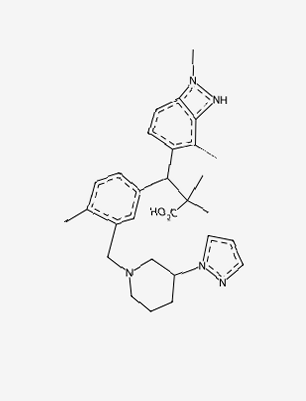 Cc1ccc(C(c2ccc3c([nH]n3C)c2C)C(C)(C)C(=O)O)cc1CN1CCCC(n2cccn2)C1